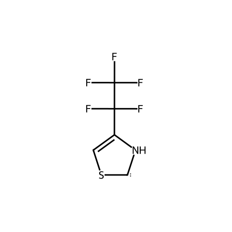 FC(F)(F)C(F)(F)C1=CS[C]N1